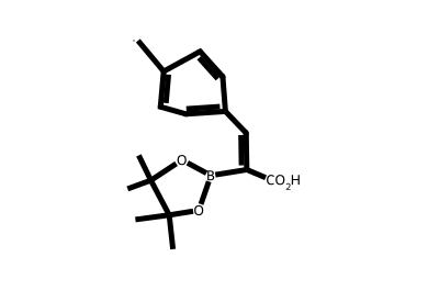 [CH2]c1ccc(C=C(B2OC(C)(C)C(C)(C)O2)C(=O)O)cc1